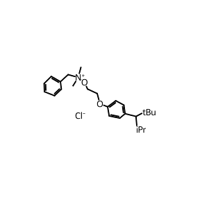 CC(C)C(c1ccc(OCCO[N+](C)(C)Cc2ccccc2)cc1)C(C)(C)C.[Cl-]